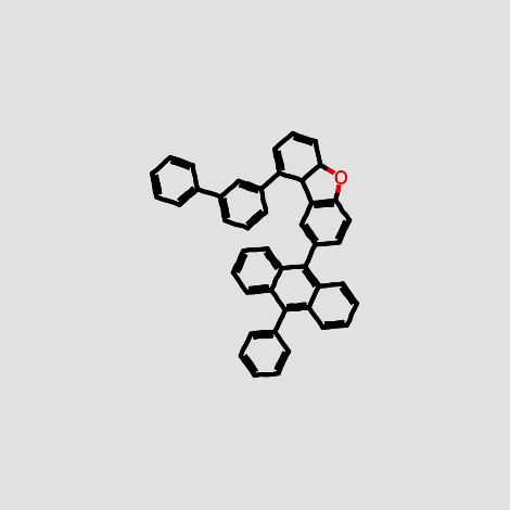 C1=CC2Oc3ccc(-c4c5ccccc5c(-c5ccccc5)c5ccccc45)cc3C2C(c2cccc(-c3ccccc3)c2)=C1